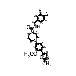 COc1cc(N2CCCN(C(=O)NCc3ccc(Cl)c(F)c3)CC2)ccc1-c1cnc(C)o1